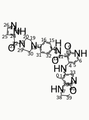 Cc1c(Nc2cc[nH]c(=O)c2C(=O)Nc2ccc(N3CCN(C(=O)c4ccn[nH]4)CC3)cc2)cnc2c1NCCO2